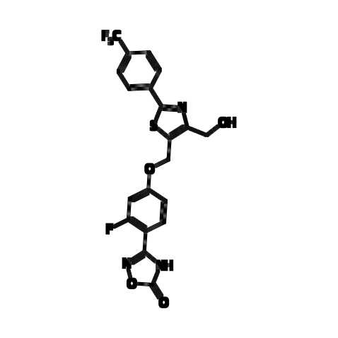 O=c1[nH]c(-c2ccc(OCc3sc(-c4ccc(C(F)(F)F)cc4)nc3CO)cc2F)no1